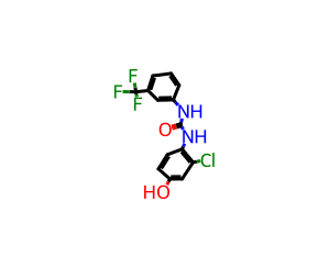 O=C(Nc1cccc(C(F)(F)F)c1)Nc1ccc(O)cc1Cl